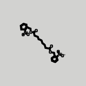 O=C(CCCCCCCC(=O)OCc1ccccc1[N+](=O)[O-])OCc1ccccc1[N+](=O)[O-]